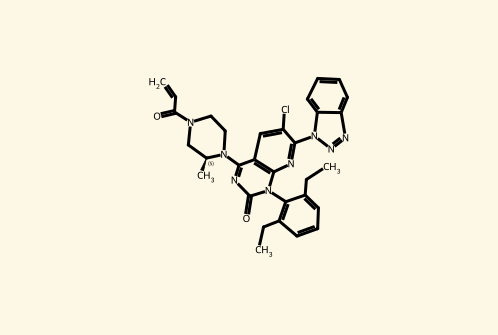 C=CC(=O)N1CCN(c2nc(=O)n(-c3c(CC)cccc3CC)c3nc(-n4nnc5ccccc54)c(Cl)cc23)[C@@H](C)C1